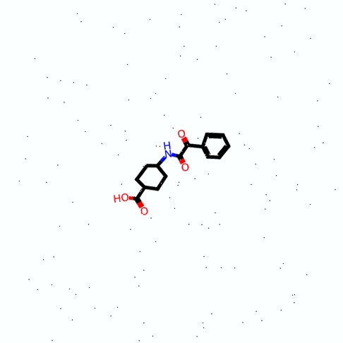 O=C(NC1CCC(C(=O)O)CC1)C(=O)c1ccccc1